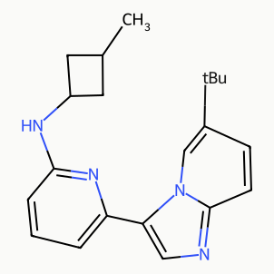 CC1CC(Nc2cccc(-c3cnc4ccc(C(C)(C)C)cn34)n2)C1